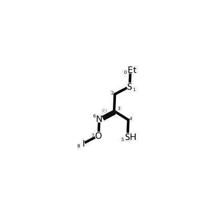 CCSC/C(CS)=N/OI